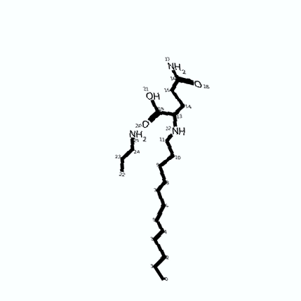 CCCCCCCCCCCCNC(CCC(N)=O)C(=O)O.CCCN